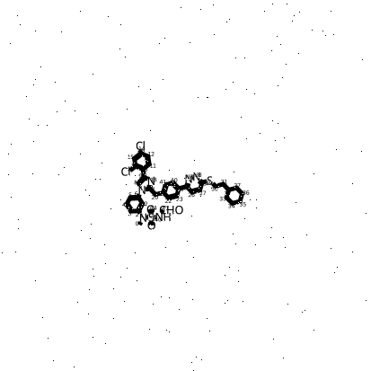 CN(c1cccc(-n2cc(-c3ccc(Cl)cc3Cl)nc2Cc2ccc(-c3ccc(SCCC4CCCCC4)nn3)cc2)c1)S(=O)(=O)NC=O